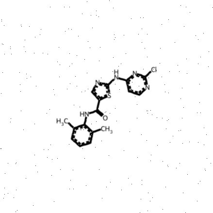 Cc1cccc(C)c1NC(=O)c1cnc(Nc2ccnc(Cl)n2)s1